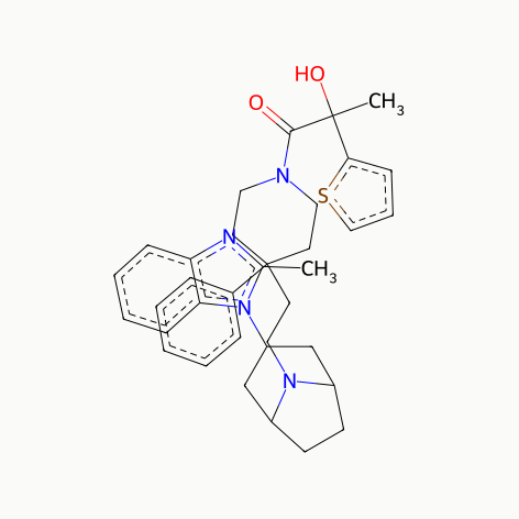 Cc1nc2ccccc2n1C1CC2CCC(C1)N2CCC1(c2ccccc2)CCN(C(=O)C(C)(O)c2cccs2)CC1